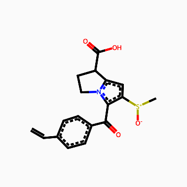 C=Cc1ccc(C(=O)c2c([S+](C)[O-])cc3n2CCC3C(=O)O)cc1